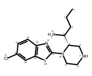 CCCC(N)[C@@H]1CNCCN1c1nc2ccc(Cl)cc2s1